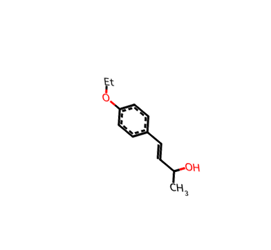 CCOc1ccc(C=CC(C)O)cc1